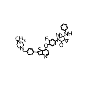 CN1CCN(Cc2ccc(-c3cc4nccc(Oc5ccc(NC(=O)C6(C(=O)Nc7ccccc7)CC6)cc5F)c4s3)cc2)CC1